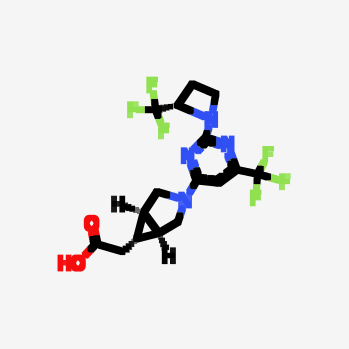 O=C(O)C[C@@H]1[C@H]2CN(c3cc(C(F)(F)F)nc(N4CC[C@H]4C(F)(F)F)n3)C[C@@H]12